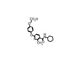 Cc1nc(Oc2ccc(OCC(=O)O)cc2)ccc1C(=O)NC1CCCCC1